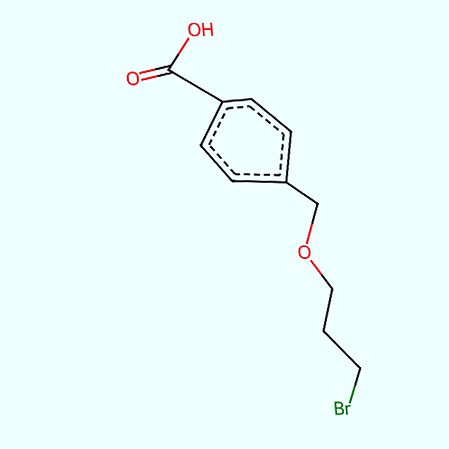 O=C(O)c1ccc(COCCCBr)cc1